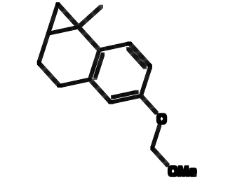 COCOc1ccc2c(c1)CCC1CC21C